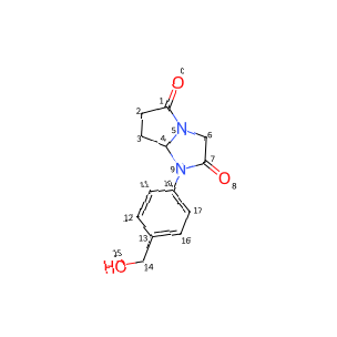 O=C1CCC2N1CC(=O)N2c1ccc(CO)cc1